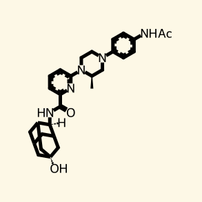 CC(=O)Nc1ccc(N2CCN(c3cccc(C(=O)N[C@H]4C5CC6CC4C[C@](O)(C6)C5)n3)[C@H](C)C2)cc1